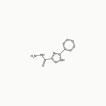 NNC(=O)c1c[nH]c(-c2ccccc2)n1